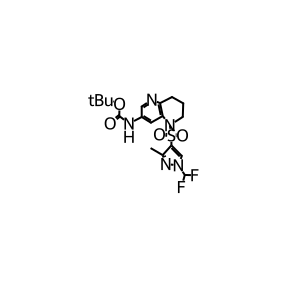 Cc1nn(C(F)F)cc1S(=O)(=O)N1CCCc2ncc(NC(=O)OC(C)(C)C)cc21